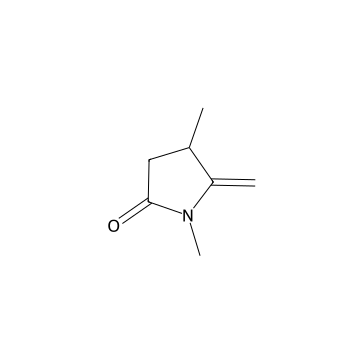 C=C1C(C)CC(=O)N1C